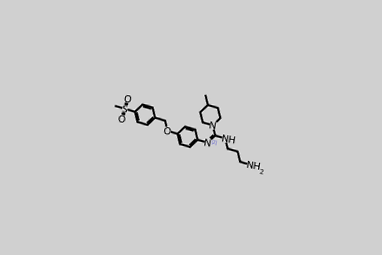 CC1CCN(/C(=N\c2ccc(OCc3ccc(S(C)(=O)=O)cc3)cc2)NCCCN)CC1